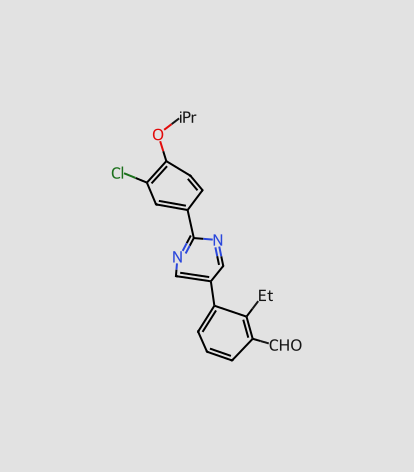 CCc1c(C=O)cccc1-c1cnc(-c2ccc(OC(C)C)c(Cl)c2)nc1